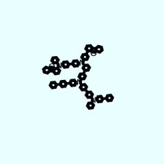 c1ccc(-c2ccc(-c3ccc(N(c4ccc(-c5ccc(N(c6ccccc6)c6ccc(-c7ccccc7)cc6)cc5)cc4)c4ccc(-c5cccc(N(c6ccc(-c7ccc(N(c8ccccc8)c8cccc9c8oc8ccccc89)cc7)cc6)c6ccc(-c7cccc8c7oc7ccccc78)cc6)c5)cc4)cc3)cc2)cc1